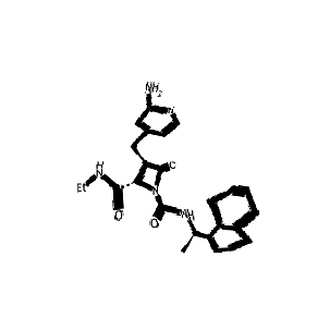 CCNC(=O)[C@@H]1[C@@H](Cc2ccnc(N)c2)C(=O)N1C(=O)N[C@H](C)c1cccc2ccccc12